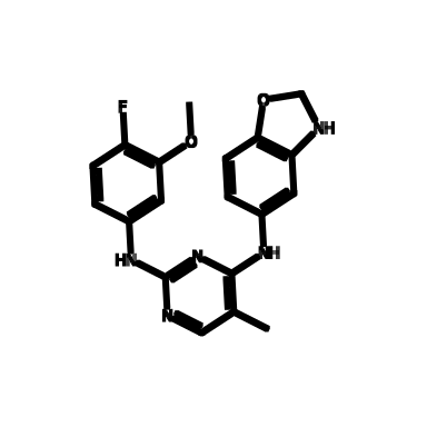 COc1cc(Nc2ncc(C)c(Nc3ccc4c(c3)NCO4)n2)ccc1F